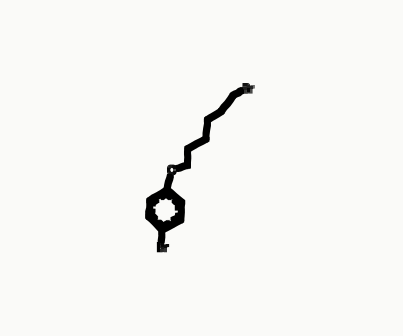 BrCCCCCCOc1ccc(Br)cc1